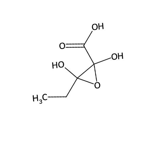 CCC1(O)OC1(O)C(=O)O